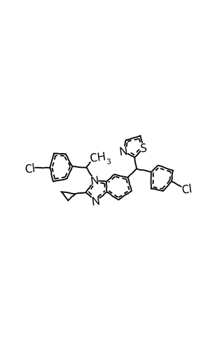 CC(c1ccc(Cl)cc1)n1c(C2CC2)nc2ccc(C(c3ccc(Cl)cc3)c3nccs3)cc21